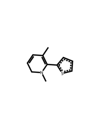 CC1=C(c2cccs2)N(C)CC=C1